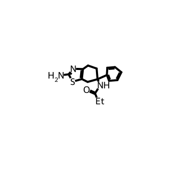 CCC(=O)NC1(c2ccccc2)CCc2nc(N)sc2C1